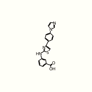 O=C(O)c1cccc(Nc2nc(-c3ccc(-n4ccnc4)cc3)cs2)c1